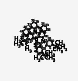 CC(C)(C)c1ccc(N2c3cccc4c3B(c3cc(C(C)(C)C)ccc3N4c3c(-c4ccccc4)cccc3-c3ccccc3)c3sc4ccc(C(C)(C)C)cc4c32)cc1